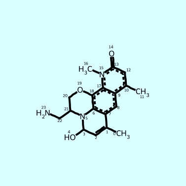 CC1=CC(O)N2c3c1cc1c(C)cc(=O)n(C)c1c3OCC2CN